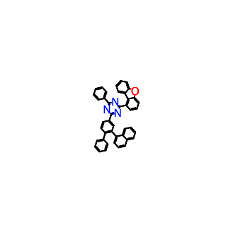 c1ccc(-c2nc(-c3ccc(-c4ccccc4)c(-c4cccc5ccccc45)c3)nc(-c3cccc4oc5ccccc5c34)n2)cc1